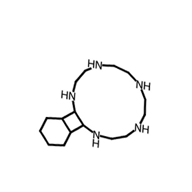 C1CCC2C(C1)C1NCCNCCNCCNCCNC21